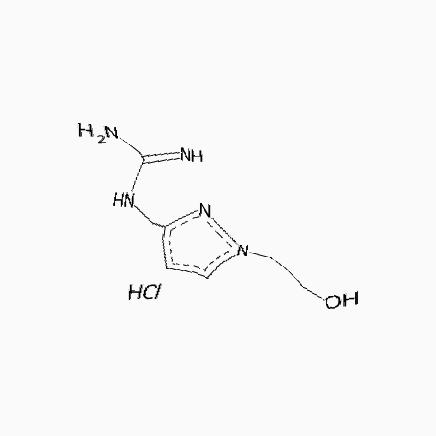 Cl.N=C(N)Nc1ccn(CCO)n1